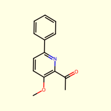 COc1ccc(-c2ccccc2)nc1C(C)=O